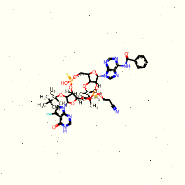 CC(C)(C)[Si](C)(C)OC1[C@H]2OP(=S)(OCCC#N)OC[C@H]3O[C@@H](n4cc(F)c5c(=O)[nH]cnc54)C(O[Si](C)(C)C(C)(C)C)[C@@H]3OP(O)(=S)OC[C@H]1O[C@H]2n1cnc2c(NC(=O)c3ccccc3)ncnc21